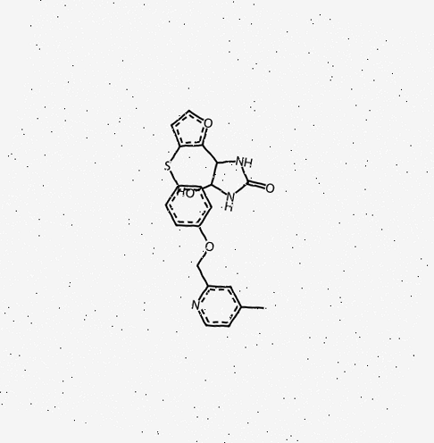 Cc1ccnc(COc2ccc(Sc3ccoc3C3NC(=O)NC3O)cc2)c1